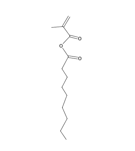 C=C(C)C(=O)OC(=O)CCCCCCCC